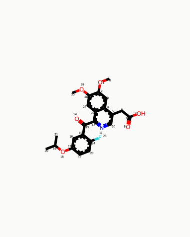 COc1cc2c(CC(=O)O)cnc(C(=O)c3cc(OC(C)C)ccc3F)c2cc1OC